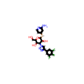 Nc1cc(SC2OC(CO)C(O)C(n3cc(-c4cc(F)c(F)c(F)c4)nn3)C2O)ccn1